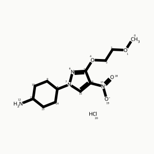 COCCOc1nn(C2CCC(N)CC2)cc1[N+](=O)[O-].Cl